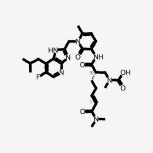 Cc1ccc(NC(=O)[C@@H](CC/C=C/C(=O)N(C)C)CN(C)C(=O)O)c(=O)n1Cc1nc2ncc(F)c(CC(C)C)c2[nH]1